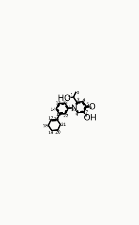 CC(O)c1cc(=O)c(O)cn1-c1cccc(C2=CCCCC2)c1